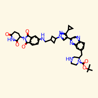 CC(C)(C)OC(=O)N1CCNCC1Cc1ccc2ncc(-c3cn(C4CC(CNc5ccc6c(c5)C(=O)N(C5CCC(=O)NC5=O)C6=O)C4)nc3C3CC3)nc2c1